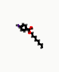 CCCCCCCCOC(=O)c1ccc(I)cc1